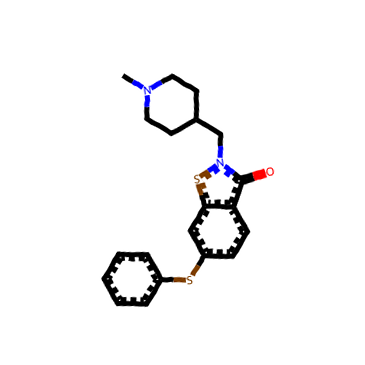 CN1CCC(Cn2sc3cc(Sc4ccccc4)ccc3c2=O)CC1